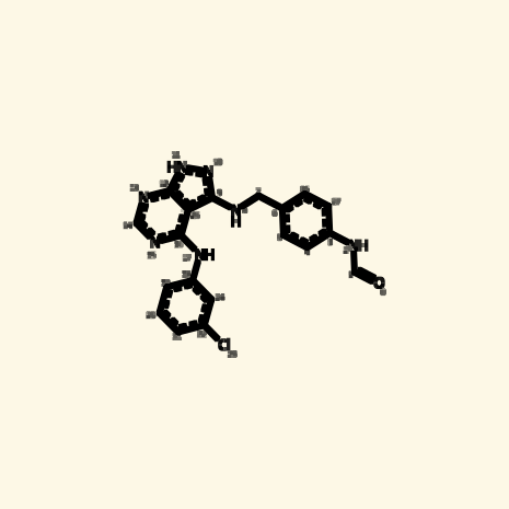 O=CNc1ccc(CNc2n[nH]c3ncnc(Nc4cccc(Cl)c4)c23)cc1